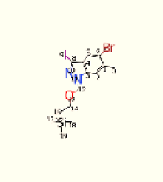 Cc1cc2c(cc1Br)c(I)nn2COCC[Si](C)(C)C